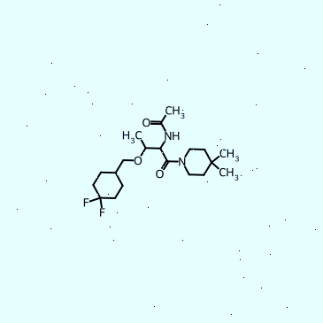 CC(=O)NC(C(=O)N1CCC(C)(C)CC1)C(C)OCC1CCC(F)(F)CC1